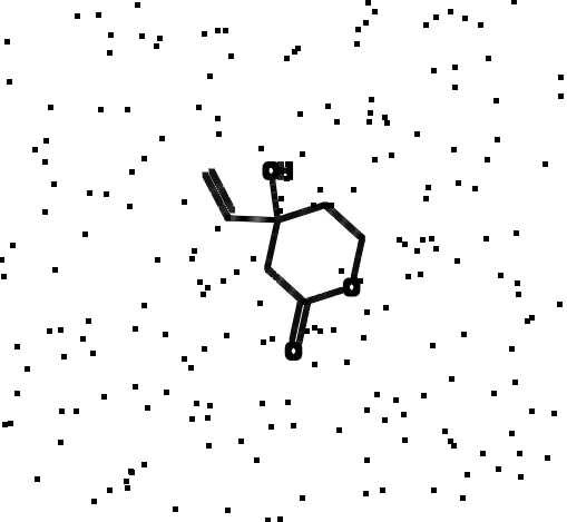 C=CC1(O)CCOC(=O)C1